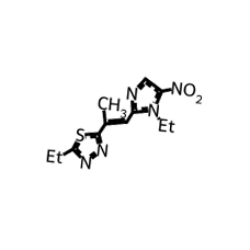 CCc1nnc(/C(C)=C/c2ncc([N+](=O)[O-])n2CC)s1